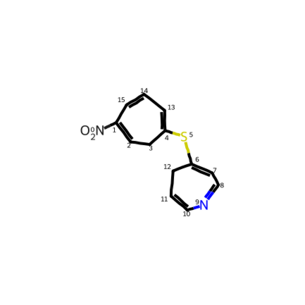 O=[N+]([O-])C1=CCC(SC2=CC=NC=CC2)=CC=C1